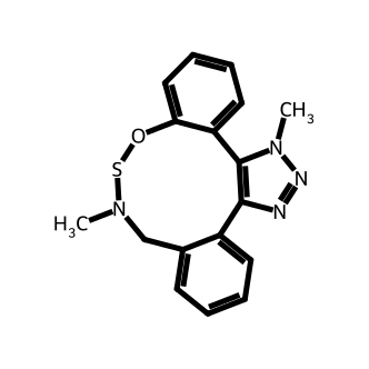 CN1Cc2ccccc2-c2nnn(C)c2-c2ccccc2OS1